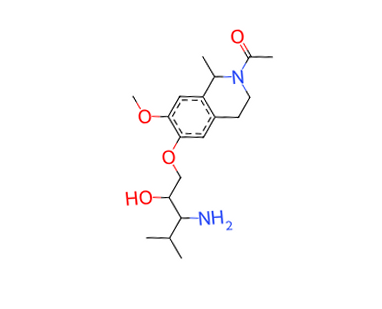 COc1cc2c(cc1OCC(O)C(N)C(C)C)CCN(C(C)=O)C2C